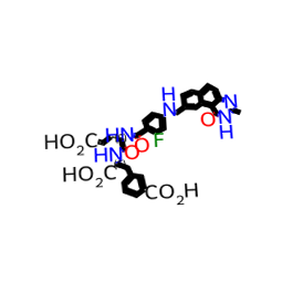 Cc1nc2ccc3ccc(CNc4ccc(C(=O)N[C@@H](CCC(=O)O)C(=O)N[C@@H](Cc5cccc(C(=O)O)c5)C(=O)O)c(F)c4)cc3c2c(=O)[nH]1